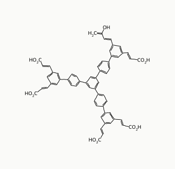 C=C(O)/C=C/c1cc(/C=C/C(=O)O)cc(-c2ccc(-c3cc(-c4ccc(-c5cc(/C=C/C(=O)O)cc(/C=C/C(=O)O)c5)cc4)cc(-c4ccc(-c5cc(/C=C/C(=O)O)cc(/C=C/C(=O)O)c5)cc4)c3)cc2)c1